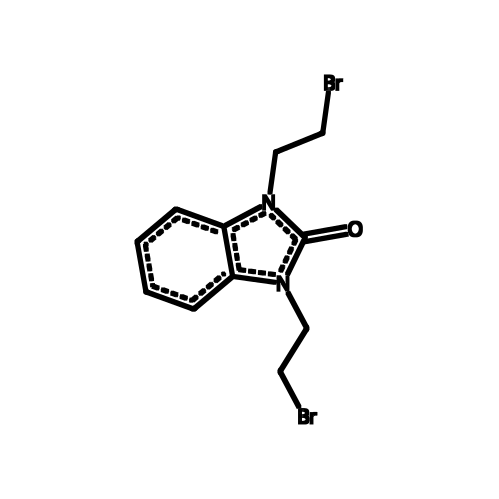 O=c1n(CCBr)c2ccccc2n1CCBr